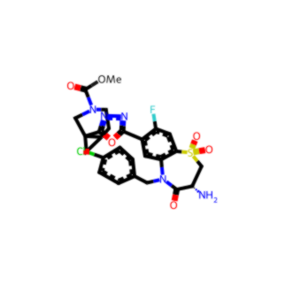 COC(=O)N1CCC2CC2(c2nnc(-c3cc4c(cc3F)S(=O)(=O)C[C@H](N)C(=O)N4Cc3ccc(Cl)cc3)o2)C1